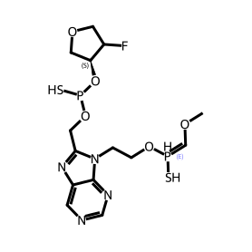 CO/C=[PH](/S)OCCn1c(COP(S)O[C@H]2COCC2F)nc2cncnc21